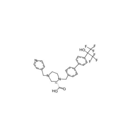 O=C(O)[C@@H]1CN(Cc2ccncc2)CCN1Cc1ccc(-c2ccc(C(O)(C(F)(F)F)C(F)(F)F)cc2)cc1